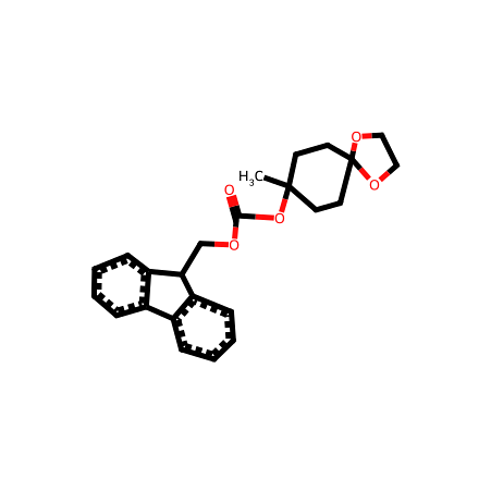 CC1(OC(=O)OCC2c3ccccc3-c3ccccc32)CCC2(CC1)OCCO2